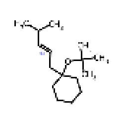 CC(C)/C=C/CC1(OC(C)(C)C)CCCCC1